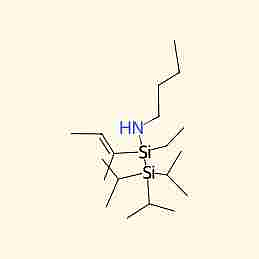 C/C=C(\C)[Si](CC)(NCCCC)[Si](C(C)C)(C(C)C)C(C)C